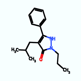 CCCn1[nH]c(-c2ccccc2)c(CC(C)C)c1=O